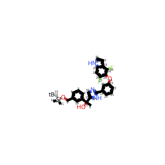 CC(O)(c1cccc(CO[Si](C)(C)C(C)(C)C)c1)c1cnc(-c2cccc(Oc3c(F)cc4[nH]ccc4c3F)c2)[nH]1